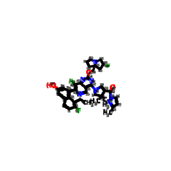 CCc1c(F)ccc2cc(O)cc(-c3ncc4c(N5CC(C(=O)n6ccc(C)n6)C(C)(C)C5)nc(OC[C@@]56CCCN5C[C@H](F)C6)nc4c3F)c12